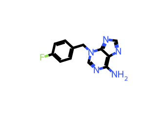 Nc1ncn(Cc2ccc(F)cc2)c2ncnc1-2